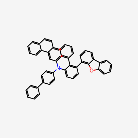 c1ccc(-c2ccc(N(c3ccc4ccc5ccccc5c4c3)c3cccc(-c4cccc5c4oc4ccccc45)c3-c3ccccc3)cc2)cc1